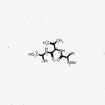 C=C(C)C(NC(=O)C(NC)C(C)C)C(=O)NC(C(=O)O)C(C)C